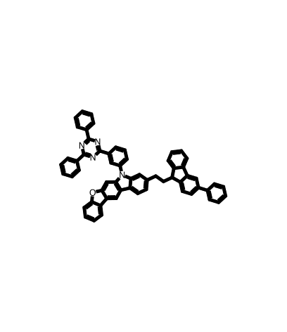 c1ccc(-c2ccc3c(c2)-c2ccccc2C3CCc2ccc3c4cc5c(cc4n(-c4cccc(-c6nc(-c7ccccc7)nc(-c7ccccc7)n6)c4)c3c2)oc2ccccc25)cc1